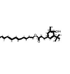 CCCCCCCCCCCOC(=O)CCc1cc(C)c(O)c(C(C)(C)C)c1